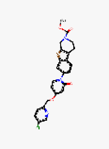 CC(C)(C)OC(=O)N1CCc2c(sc3cc(-n4ccc(OCc5ccc(Cl)cn5)cc4=O)ccc23)C1